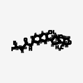 Cc1cc2cnc(NC(=O)C3CC3C(F)F)cc2cc1C1CCN([C@]2(C)COC[C@@H]2O)CC1